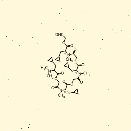 CN(C)C(CC1CC1)C(=O)OCC(=O)N(C)[C@@H](CC1CC1)C(=O)OCC(=O)N(C)[C@@H](CC1CC1)C(=O)OCC(=O)N(C)[C@@H](CC1CC1)C(=O)OCC=O